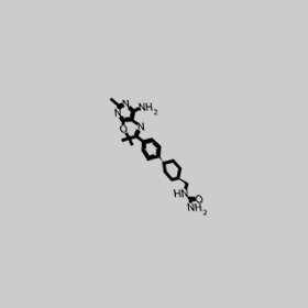 Cc1nc(N)c2c(n1)OC(C)(C)C(c1ccc([C@H]3CC[C@H](CNC(N)=O)CC3)cc1)=N2